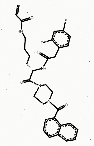 C=CC(=O)NCCCC[C@H](NC(=O)Cc1ccc(F)cc1F)C(=O)N1CCN(C(=O)c2cccc3ccccc23)CC1